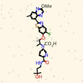 COc1cnc2c(-c3nc4cc(F)c(O[C@@H](C)C(C)N(C(=O)O)c5ccc(C(=O)NCCC(C)(C)O)nc5)cc4s3)cc(C)cc2n1